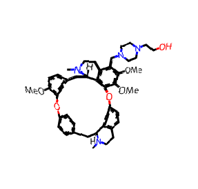 COc1ccc2cc1Oc1ccc(cc1)C[C@H]1c3cc(ccc3CCN1C)Oc1c(OC)c(OC)c(CN3CCN(CCO)CC3)c3c1[C@H](C2)N(C)CC3